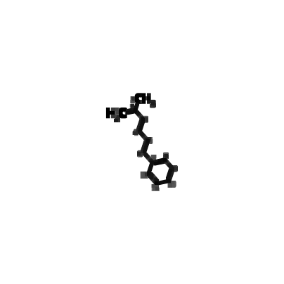 C=C(C)C=CC=Cc1ccccc1